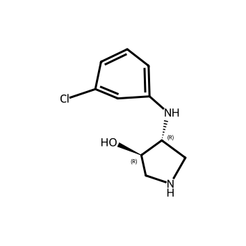 O[C@@H]1CNC[C@H]1Nc1cccc(Cl)c1